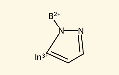 [B+2]n1cccn1.[In+3]